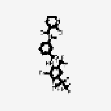 CN(C(=O)c1cccnc1Cl)c1cccc(C(=O)Nc2c(Br)cc(C(F)(C(F)(F)F)C(F)(F)F)cc2C(F)(F)F)c1